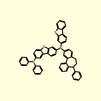 c1ccc(C2CCc3ccc(N(c4ccc5c(c4)sc4ccccc45)c4ccc5c(c4)sc4ccc(N(c6ccccc6)c6ccccc6)cc45)cc3-c3ccccc32)cc1